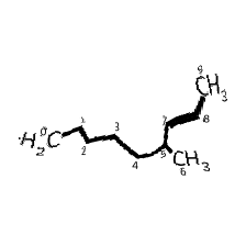 [CH2]CCCCC(C)C=CC